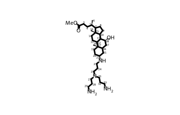 COC(=O)CC[C@@H](C)C1CCC2C3C(CC[C@@]21C)[C@@]1(C)CC[C@H](NCCCN(CCCN)CCCN)CC1C[C@H]3O